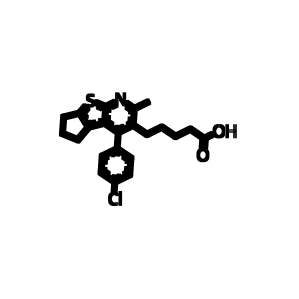 Cc1nc2sc3c(c2c(-c2ccc(Cl)cc2)c1CCCCC(=O)O)CCC3